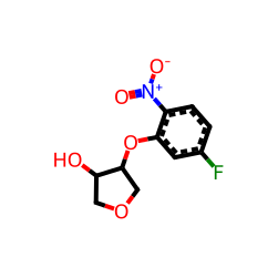 O=[N+]([O-])c1ccc(F)cc1OC1COCC1O